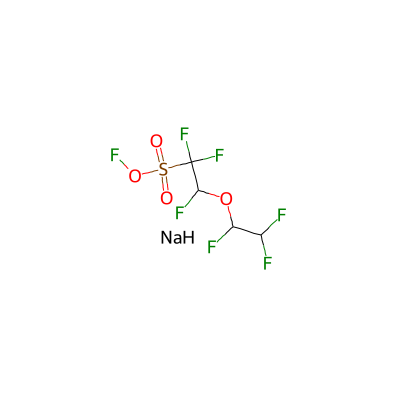 O=S(=O)(OF)C(F)(F)C(F)OC(F)C(F)F.[NaH]